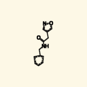 O=C(Cc1cnoc1)NCc1ccccc1